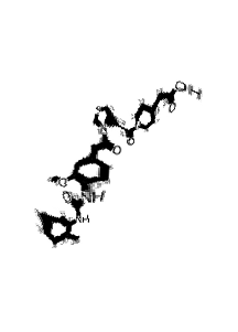 COc1cc(CC(=O)N2CSC[C@H]2C(=O)N2CCC(CC(=O)O)CC2)ccc1NC(=O)Nc1ccccc1C